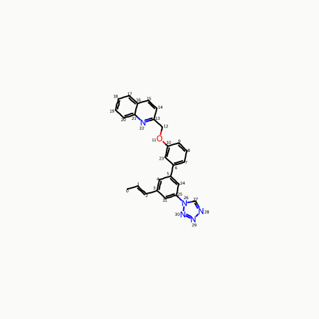 CC=Cc1cc(-c2cccc(OCc3ccc4ccccc4n3)c2)cc(-n2cnnn2)c1